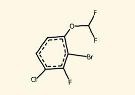 Fc1c(Cl)ccc(OC(F)F)c1Br